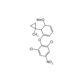 COC1C=CC=C(Oc2c(Cl)cc([N+](=O)[O-])cc2Cl)C1C1(C)CC1